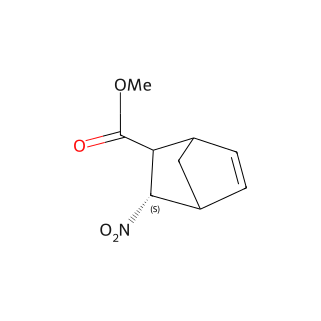 COC(=O)C1C2C=CC(C2)[C@@H]1[N+](=O)[O-]